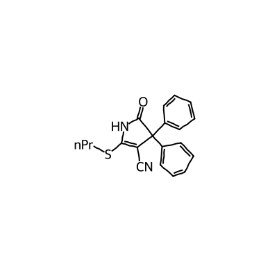 CCCSC1=C(C#N)C(c2ccccc2)(c2ccccc2)C(=O)N1